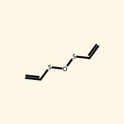 C=CSOSC=C